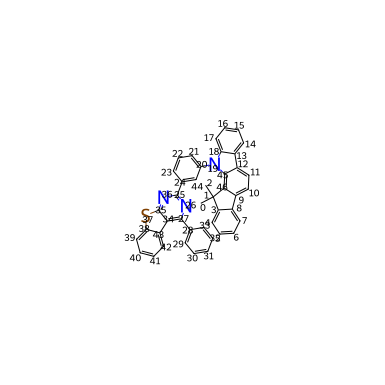 CC1(C)c2ccccc2-c2ccc3c4ccccc4n(-c4cccc(-c5nc(-c6ccccc6)c6c(n5)sc5ccccc56)c4)c3c21